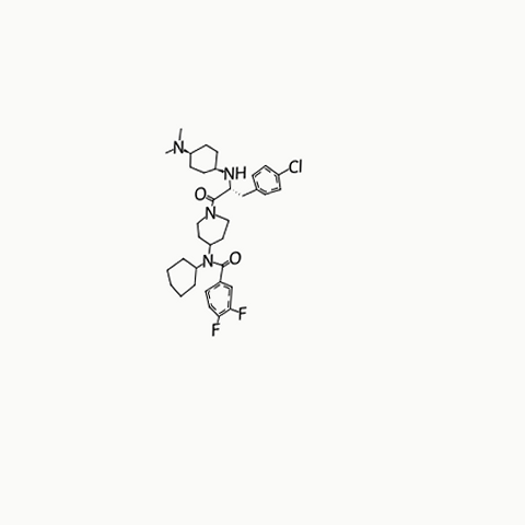 CN(C)[C@H]1CC[C@@H](N[C@H](Cc2ccc(Cl)cc2)C(=O)N2CCC(N(C(=O)c3ccc(F)c(F)c3)C3CCCCC3)CC2)CC1